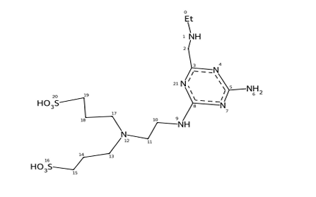 CCNCc1nc(N)nc(NCCN(CCCS(=O)(=O)O)CCCS(=O)(=O)O)n1